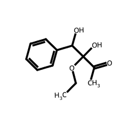 CCOC(O)(C(C)=O)C(O)c1ccccc1